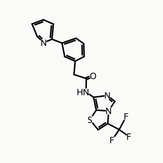 O=C(Cc1cccc(-c2ccccn2)c1)Nc1ncn2c(C(F)(F)F)csc12